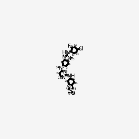 CN(c1ccc2c(c1)nc(Nc1ccc(Cl)cc1F)n2C)c1ccnc(Nc2ccc(CS(C)(=O)=O)cc2)n1